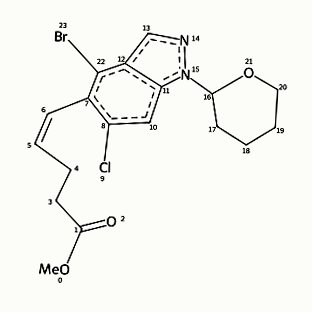 COC(=O)CC/C=C\c1c(Cl)cc2c(cnn2C2CCCCO2)c1Br